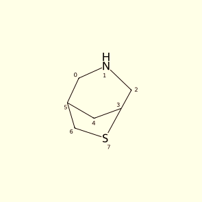 C1NCC2CC1CS2